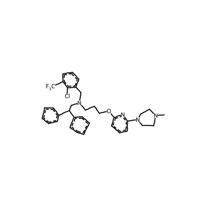 CN1CCN(c2cccc(OCCCN(Cc3cccc(C(F)(F)F)c3Cl)CC(c3ccccc3)c3ccccc3)n2)CC1